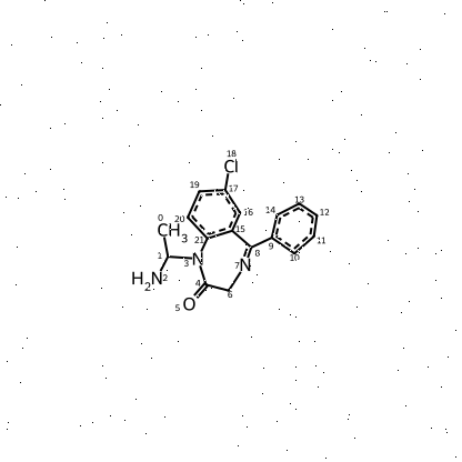 CC(N)N1C(=O)CN=C(c2ccccc2)c2cc(Cl)ccc21